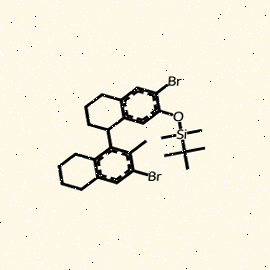 Cc1c(Br)cc2c(c1C1CCCc3cc(Br)c(O[Si](C)(C)C(C)(C)C)cc31)CCCC2